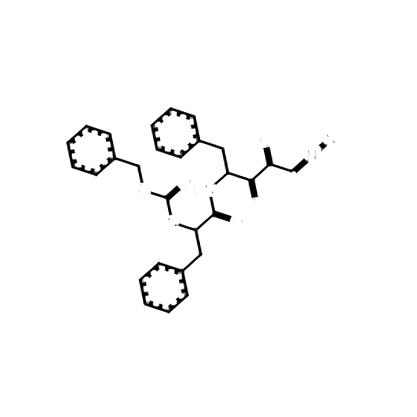 [N-]=[N+]=CC(=O)C(=O)C(Cc1ccccc1)NC(=O)C(Cc1ccccc1)NC(=O)OCc1ccccc1